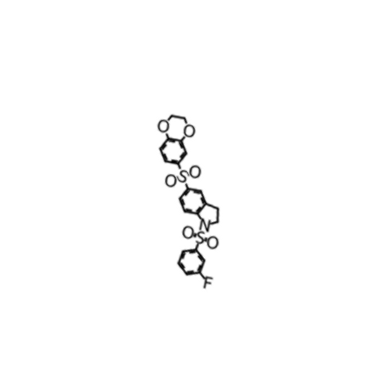 O=S(=O)(c1ccc2c(c1)CCN2S(=O)(=O)c1cccc(F)c1)c1ccc2c(c1)OCCO2